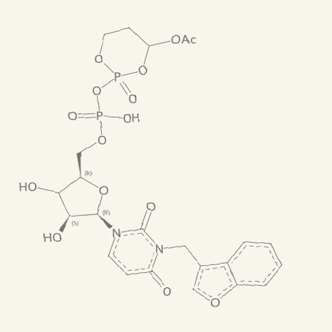 CC(=O)OC1CCOP(=O)(OP(=O)(O)OC[C@H]2O[C@@H](n3ccc(=O)n(Cc4coc5ccccc45)c3=O)[C@@H](O)C2O)O1